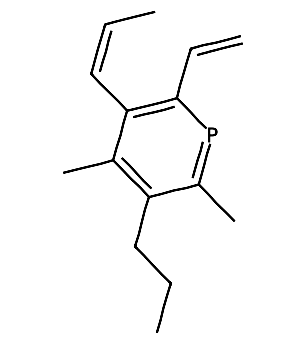 C=Cc1pc(C)c(CCC)c(C)c1/C=C\C